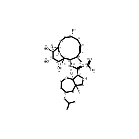 CC(C)C[C@@H]1CCO[C@@H]2[C@H](CN[C@@H]2C(=O)N[C@H]2[C@H]3O[C@H](SC[C@H](F)C/C=C\[C@H]2C)[C@H](O)[C@@H](O)[C@H]3O)C1.O=CO